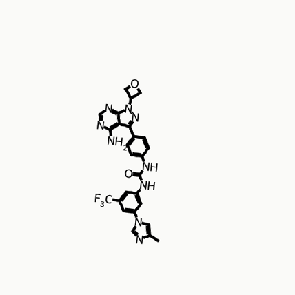 Cc1cn(-c2cc(NC(=O)Nc3ccc(-c4nn(C5COC5)c5ncnc(N)c45)cc3)cc(C(F)(F)F)c2)cn1